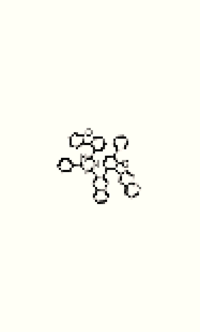 c1ccc(-c2nc(-c3cc4ccccc4cc3-c3ccc(-c4ccccc4)c4oc5cc6ncccc6cc5c34)nc(-c3cccc4oc5ccccc5c34)n2)cc1